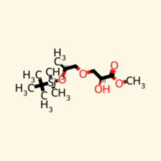 COC(=O)[C@@H](O)COC[C@H](C)O[Si](C)(C)C(C)(C)C